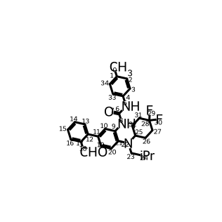 Cc1ccc(NC(=O)Nc2cc(-c3ccccc3C=O)ccc2N(CC(C)C)C2CCC(F)(F)CC2)cc1